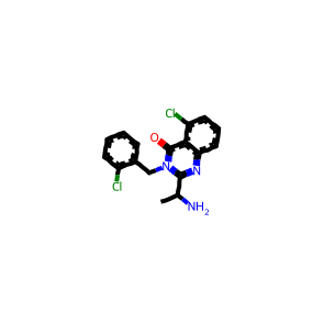 CC(N)c1nc2cccc(Cl)c2c(=O)n1Cc1ccccc1Cl